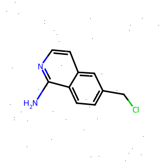 Nc1nccc2cc(CCl)ccc12